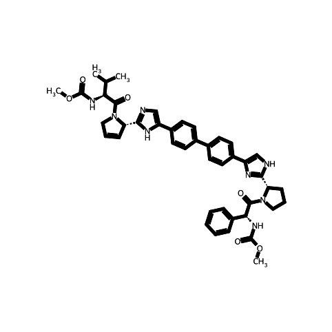 COC(=O)N[C@H](C(=O)N1CC=C[C@H]1c1ncc(-c2ccc(-c3ccc(-c4c[nH]c([C@@H]5CCCN5C(=O)[C@H](NC(=O)OC)c5ccccc5)n4)cc3)cc2)[nH]1)C(C)C